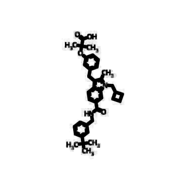 Cc1c(Cc2cccc(OC(C)(C)C(=O)O)c2)c2ccc(C(=O)NCc3cccc(C(C)(C)C)c3)cc2n1CC1CCC1